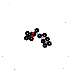 c1ccc(C2(c3ccccc3)c3ccccc3-c3cccc(-c4ccc5c6ccccc6n(-c6ccc7c(c6)c6ccccc6n7-c6cccc([Si](c7ccccc7)(c7ccccc7)c7ccccc7)c6)c5c4)c32)cc1